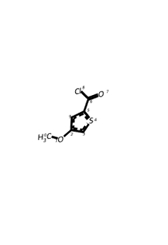 COc1csc(C(=O)Cl)c1